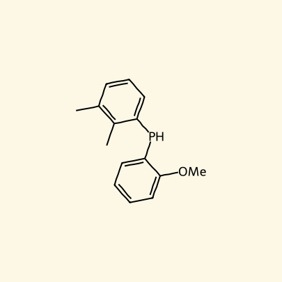 COc1ccccc1Pc1cccc(C)c1C